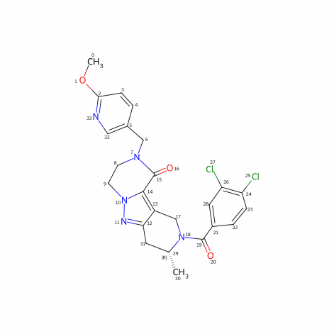 COc1ccc(CN2CCn3nc4c(c3C2=O)CN(C(=O)c2ccc(Cl)c(Cl)c2)[C@H](C)C4)cn1